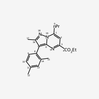 CCCc1cc(C(=O)OCC)nc2c(-c3ccc(C)cc3C)c(C)nn12